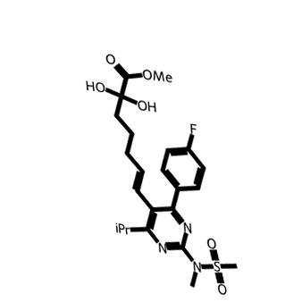 COC(=O)C(O)(O)CCC/C=C/c1c(-c2ccc(F)cc2)nc(N(C)S(C)(=O)=O)nc1C(C)C